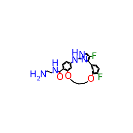 NCCNC(=O)c1ccc2cc1OCCCCCOc1cc(ccc1F)-c1nc(ncc1F)N2